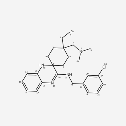 CC(C)CC1(CN(C)C)CCC2(CC1)Nc1ccccc1N=C2NCc1cccc(Cl)c1